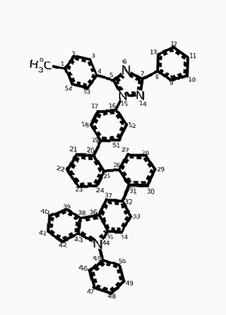 Cc1ccc(-c2nc(-c3ccccc3)nn2-c2ccc(-c3ccccc3-c3ccccc3-c3ccc4c(c3)c3ccccc3n4-c3ccccc3)cc2)cc1